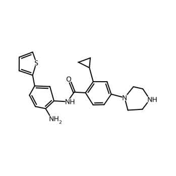 Nc1ccc(-c2cccs2)cc1NC(=O)c1ccc(N2CCNCC2)cc1C1CC1